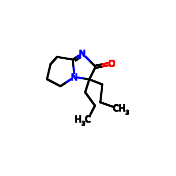 CCCC1(CCC)C(=O)N=C2CCCCN21